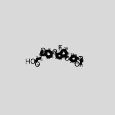 O=C(O)CC[C@@H]1COc2cc(O[C@@H]3CCc4c(Oc5ccc6c(c5)OCCO6)ccc(F)c43)ccc21